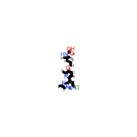 Cc1cn2nc(Cl)cc(-c3ccc(OC[C@@H](C)CC(C)(C)NC(=O)O)c(C)n3)c2n1